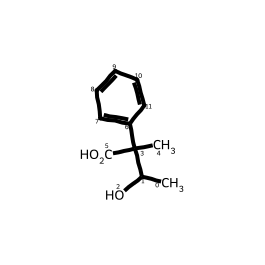 CC(O)C(C)(C(=O)O)c1ccccc1